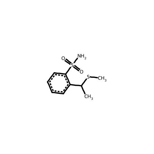 CSC(C)c1ccccc1S(N)(=O)=O